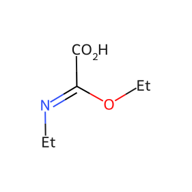 CCN=C(OCC)C(=O)O